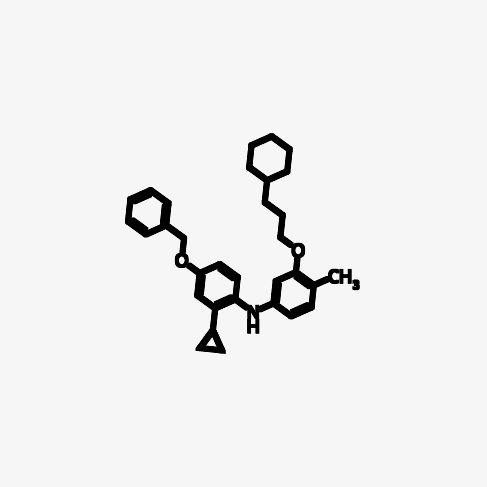 Cc1ccc(Nc2ccc(OCc3ccccc3)cc2C2CC2)cc1OCCCC1CCCCC1